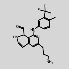 Cc1ccc(Nc2nc(CCCN)cc3c2C(C=O)NC=C3)cc1C(F)(F)F